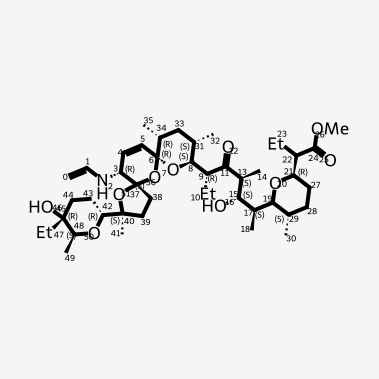 C=CN[C@@H]1C=C[C@]2(O[C@H]([C@@H](CC)C(=O)[C@@H](C)[C@@H](O)[C@H](C)C3O[C@@H](C(CC)C(=O)OC)CC[C@@H]3C)[C@@H](C)C[C@H]2C)O[C@@]12CC[C@@](C)([C@H]1CC[C@](O)(CC)[C@H](C)O1)O2